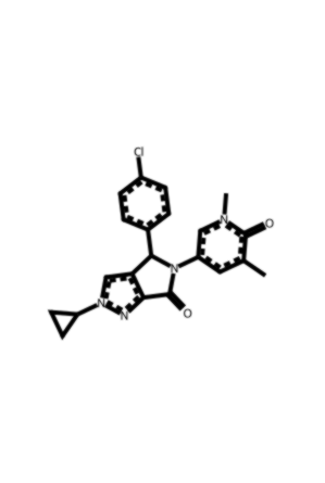 Cc1cc(N2C(=O)c3nn(C4CC4)cc3C2c2ccc(Cl)cc2)cn(C)c1=O